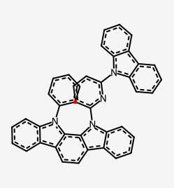 c1ccc(-n2c3ccccc3c3ccc4c5ccccc5n(-c5cccc(-n6c7ccccc7c7ccccc76)n5)c4c32)cc1